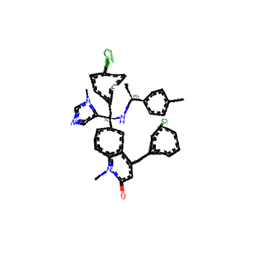 Cc1ccc([C@H](C)N[C@@](c2ccc(Cl)cc2)(c2ccc3c(c2)c(-c2cccc(Cl)c2)cc(=O)n3C)c2cncn2C)cc1